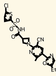 CCc1cnc(-c2cc(C#N)c(N3CC(C(=O)NS(=O)(=O)c4ccc(Cl)s4)C3)nc2C)o1